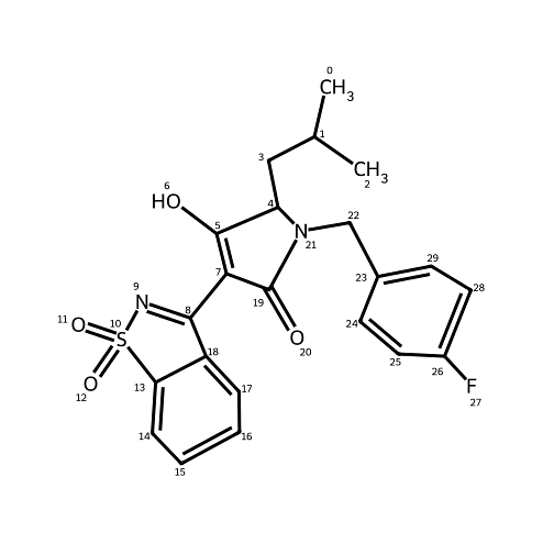 CC(C)CC1C(O)=C(C2=NS(=O)(=O)c3ccccc32)C(=O)N1Cc1ccc(F)cc1